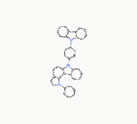 c1ccc(-n2ccc3ccc4c(c5ccccc5n4-c4ccc(-n5c6ccccc6c6ccccc65)cc4)c32)cc1